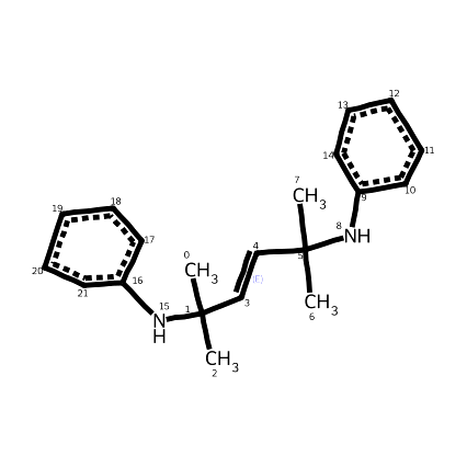 CC(C)(/C=C/C(C)(C)Nc1ccccc1)Nc1ccccc1